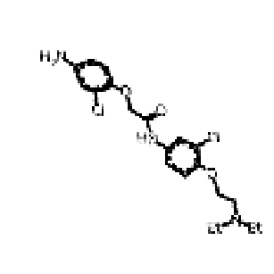 CCN(CC)CCOc1ccc(NC(=O)COc2ccc(N)cc2Cl)cc1Cl